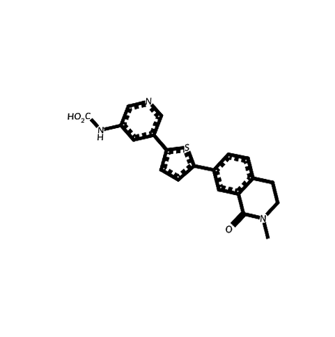 CN1CCc2ccc(-c3ccc(-c4cncc(NC(=O)O)c4)s3)cc2C1=O